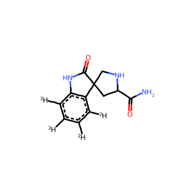 [2H]c1c([2H])c([2H])c2c(c1[2H])NC(=O)C21CNC(C(N)=O)C1